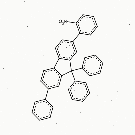 O=[N+]([O-])c1ccccc1-c1ccc2c(c1)C(c1ccccc1)(c1ccccc1)c1cc(-c3ccccc3)ccc1-2